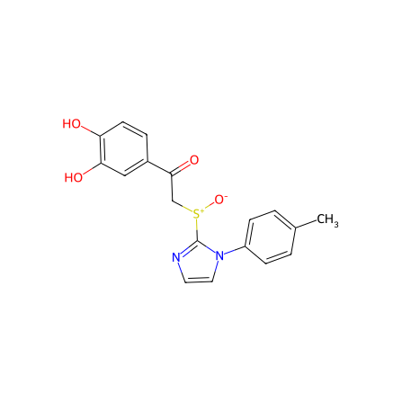 Cc1ccc(-n2ccnc2[S+]([O-])CC(=O)c2ccc(O)c(O)c2)cc1